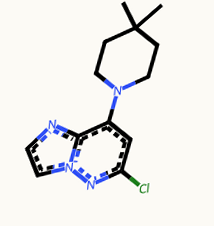 CC1(C)CCN(c2cc(Cl)nn3ccnc23)CC1